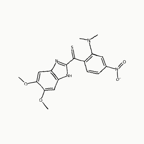 COc1cc2nc(C(=S)c3ccc([N+](=O)[O-])cc3N(C)C)[nH]c2cc1OC